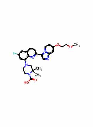 COCCOc1ccn2c(-c3ccc4cc(F)cc(N5CCN(C(=O)O)C(C)(C)C5)c4n3)cnc2c1